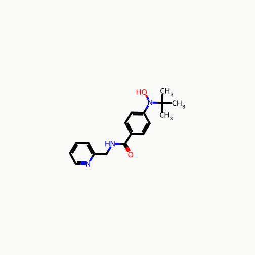 CC(C)(C)N(O)c1ccc(C(=O)NCc2ccccn2)cc1